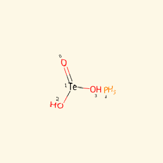 O=[Te](O)O.P